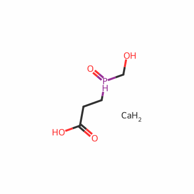 O=C(O)CC[PH](=O)CO.[CaH2]